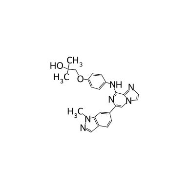 Cn1ncc2ccc(-c3cn4ccnc4c(Nc4ccc(OCC(C)(C)O)cc4)n3)cc21